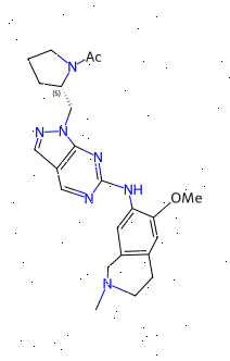 COc1cc2c(cc1Nc1ncc3cnn(C[C@@H]4CCCN4C(C)=O)c3n1)CN(C)CC2